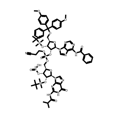 COc1ccc(C(OC[C@H]2O[C@@H](n3cnc4c(NC(=O)c5ccccc5)ncnc43)[C@H](OP(=S)(OCCC#N)OC[C@H]3O[C@@H](n4cnc5c(=O)[nH]c(NC(=O)C(C)C)nc54)[C@H](O[Si](C)(C)C(C)(C)C)[C@@H]3O[PH](=O)O)[C@@H]2O[Si](C)(C)C(C)(C)C)(c2ccccc2)c2ccc(OC)cc2)cc1